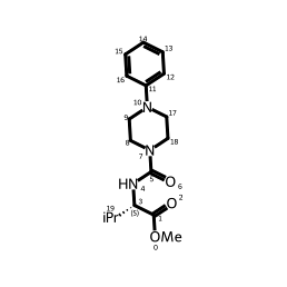 COC(=O)[C@@H](NC(=O)N1CCN(c2ccccc2)CC1)C(C)C